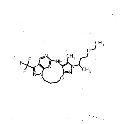 CCOCCC(C)n1nc2c(c1C)Nc1ncc3c(C(F)(F)F)nn(c3n1)CCCO2